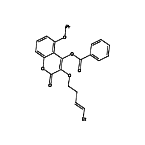 CC/C=C/CCOc1c(OC(=O)c2ccccc2)c2c(OC(C)C)cccc2oc1=O